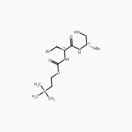 CCCC[C@@H](CO)NC(=O)[C@H](CC(C)C)NC(=O)OCC[Si](C)(C)C